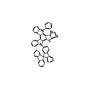 c1ccc(-n2c3ccccc3c3c4c5ccccc5n(-c5ccc6c(c5)C5(c7ccccc7-c7ccccc75)c5ccccc5-6)c4c4sc5cncnc5c4c32)cc1